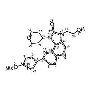 COc1ccc(-c2ccc3ncc4c(c3n2)n(C2CCOCC2)c(=O)n4CCO)cn1